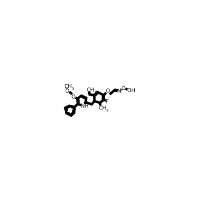 CCC1=CC(OC/C=N/OO)=C(F)C(C)C1CC1C=CC(OCOC)=C(c2ccccc2)N1